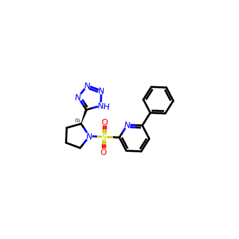 O=S(=O)(c1cccc(-c2ccccc2)n1)N1CCC[C@H]1c1nnn[nH]1